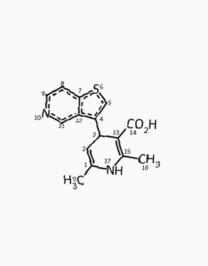 CC1=CC(c2csc3ccncc23)C(C(=O)O)=C(C)N1